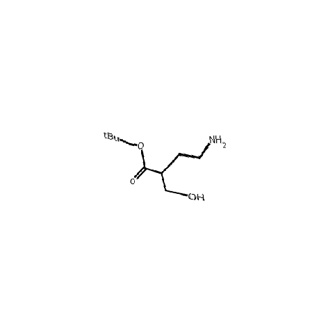 CC(C)(C)OC(=O)C(CO)CCN